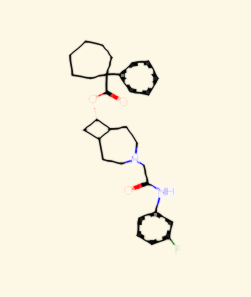 O=C(CN1CCC2C[C@H](OC(=O)C3(c4ccccc4)CCCCCC3)C2CC1)Nc1cccc(F)c1